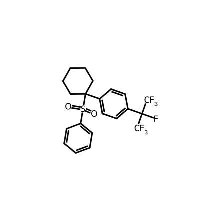 O=S(=O)(c1ccccc1)C1(c2ccc(C(F)(C(F)(F)F)C(F)(F)F)cc2)CCCCC1